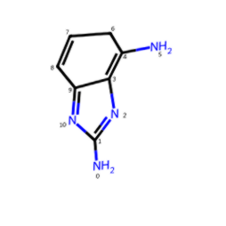 NC1=NC2=C(N)CC=CC2=N1